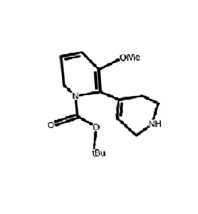 COC1=C(C2=CCNCC2)N(C(=O)OC(C)(C)C)CC=C1